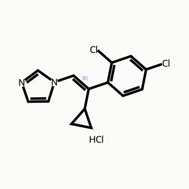 Cl.Clc1ccc(/C(=C/n2ccnc2)C2CC2)c(Cl)c1